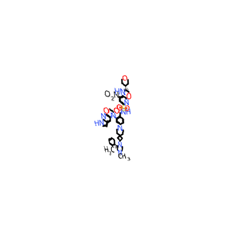 Cc1ccccc1[C@@H]1CN(C)CCN1C1CC2(CCN(c3ccc(C(=O)NS(=O)(=O)c4cc([N+](=O)[O-])c5c(n4)OC[C@@H](C4CCOCC4)N5)c(N4CCOc5nc6[nH]ccc6cc54)c3)CC2)C1